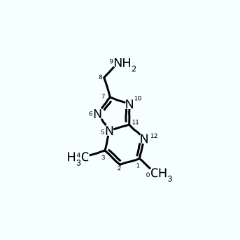 Cc1cc(C)n2nc(CN)nc2n1